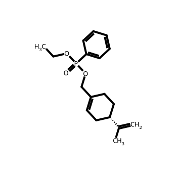 C=C(C)[C@@H]1CC=C(COP(=O)(OCC)c2ccccc2)CC1